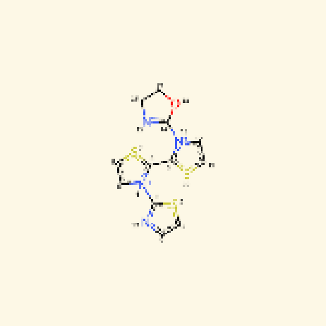 c1csc(-[n+]2ccsc2-c2scc[n+]2C2=NCCO2)n1